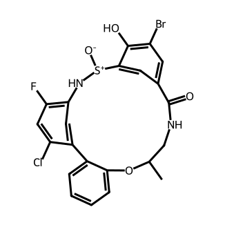 CC1CNC(=O)c2cc(Br)c(O)c(c2)[S+]([O-])Nc2cc(c(Cl)cc2F)-c2ccccc2O1